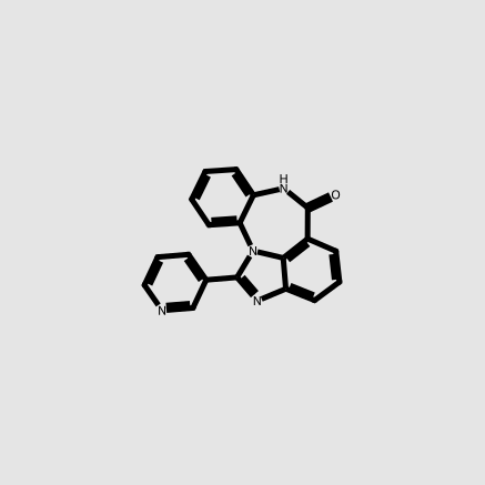 O=C1Nc2ccccc2-n2c(-c3cccnc3)nc3cccc1c32